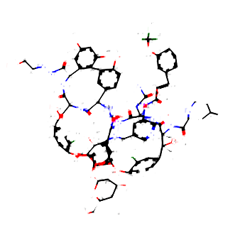 CN[C@H](CC(C)C)C(=O)N[C@H]1C(=O)N[C@@H](CC(N)=O)C(=O)N[C@H]2C(=O)N[C@H]3C(=O)N[C@H](C(=O)N[C@@H](C(=O)NNCCO)c4cc(O)cc(O)c4-c4cc3ccc4O)[C@H](O)c3ccc(c(Cl)c3)Oc3cc2cc(c3O[C@@H]2O[C@H](CO)[C@@H](O)[C@H](O)[C@H]2O[C@H]2C[C@](C)(NCc3cncc(NC(=O)/C=C/c4cccc(OC(F)(F)F)c4)c3)[C@H](O)[C@H](C)O2)Oc2ccc(cc2Cl)[C@H]1O